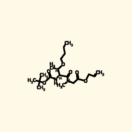 C=CCOC(=O)CN(C)C(=O)[C@@H](NC(=O)OC(C)(C)C)[C@@H](C)OCCCC